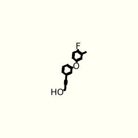 Cc1cc(Oc2cccc(C#CCO)c2)ccc1F